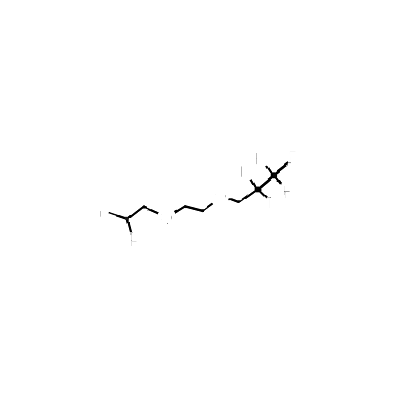 FC(F)COCCOCC(F)(F)C(F)(F)F